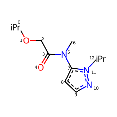 CC(C)OCC(=O)N(C)c1ccnn1C(C)C